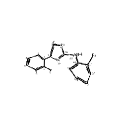 Cc1ccccc1-c1csc(Nc2ccccc2F)n1